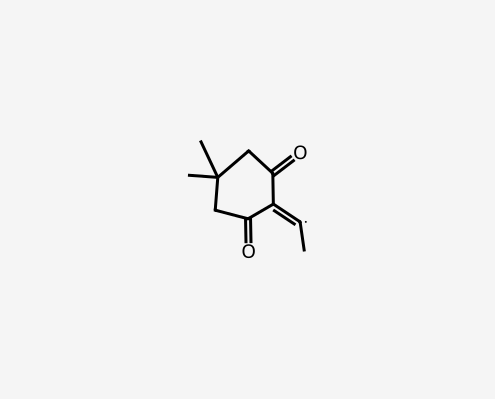 C[C]=C1C(=O)CC(C)(C)CC1=O